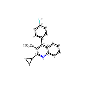 CCOC(=O)c1c(C2CC2)nc2ccccc2c1-c1ccc(F)cc1